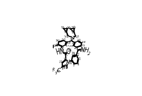 NCc1cccc(-n2nc(C(F)(F)F)cc2C(=O)Nc2cc(C(c3ccccc3)N(CC3CC3)CC3CC3)ccc2F)c1